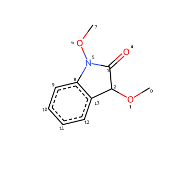 COC1C(=O)N(OC)c2ccccc21